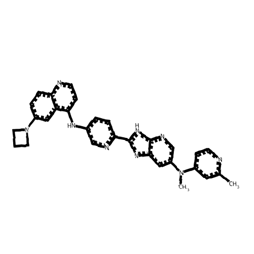 Cc1cc(N(C)c2cnc3[nH]c(-c4ccc(Nc5ccnc6ccc(N7CCC7)cc56)cn4)nc3c2)ccn1